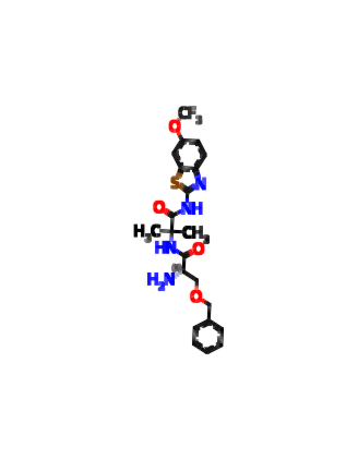 CC(C)(NC(=O)[C@@H](N)COCc1ccccc1)C(=O)Nc1nc2ccc(OC(F)(F)F)cc2s1